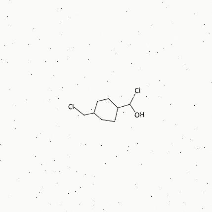 OC(Cl)C1CCC(CCl)CC1